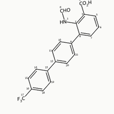 O=CNc1c(C(=O)O)cccc1-c1ccc(-c2ccc(C(F)(F)F)cc2)cc1